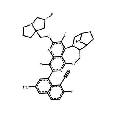 C#Cc1c(F)ccc2cc(O)cc(-c3nc4c5c(c(F)c(OC[C@@]67CCCN6C[C@H](F)C7)nc5c3F)N3CC5CCC(N5)C3CO4)c12